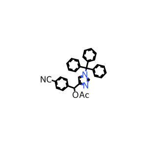 CC(=O)OC(c1ccc(C#N)cc1)c1cn(C(c2ccccc2)(c2ccccc2)c2ccccc2)cn1